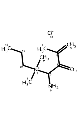 C=C(C)C(=O)C(N)[N+](C)(C)CCC.[Cl-]